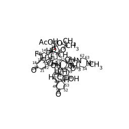 CC(=O)OCC(=O)[C@@]12OC(C)(C)O[C@@H]1C[C@H]1[C@@H]3C[C@H](F)C4=CC(=O)C=C[C@]4(C)[C@@]3(F)[C@@H](O)C[C@@]12C.CN1CCN(CC(=O)[C@@]2(O)CC[C@H]3[C@@H]4CCC5=CC(=O)C=C[C@]5(C)[C@H]4[C@@H](O)C[C@@]32C)CC1